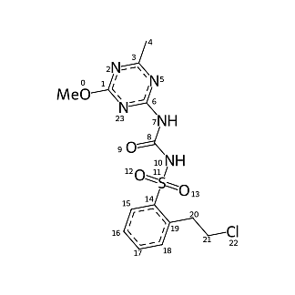 COc1nc(C)nc(NC(=O)NS(=O)(=O)c2ccccc2CCCl)n1